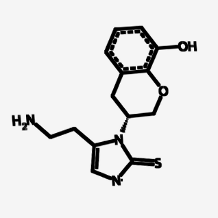 NCCC1=C[N]C(=S)N1[C@H]1COc2c(O)cccc2C1